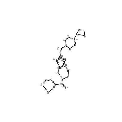 O=C(C1CCOCC1)N1CCc2nc(OC3CCN(C4CCC4)CC3)sc2C1